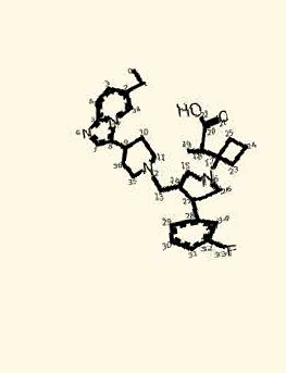 CCc1ccc2ncc(C3CCN(CC4CN(C5(C(C)C(=O)O)CCC5)CC4c4cccc(F)c4)CC3)n2c1